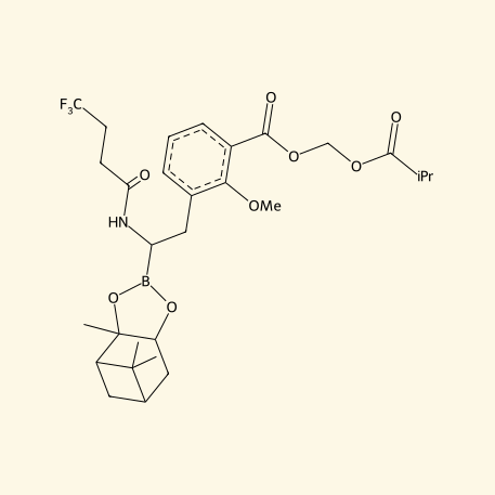 COc1c(CC(NC(=O)CCC(F)(F)F)B2OC3CC4CC(C4(C)C)C3(C)O2)cccc1C(=O)OCOC(=O)C(C)C